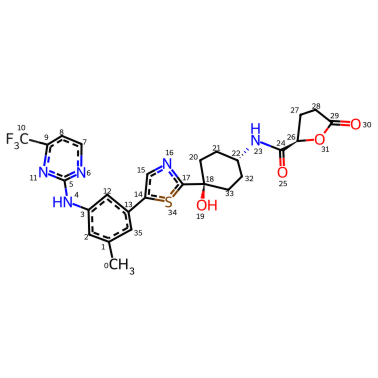 Cc1cc(Nc2nccc(C(F)(F)F)n2)cc(-c2cnc([C@]3(O)CC[C@H](NC(=O)[C@H]4CCC(=O)O4)CC3)s2)c1